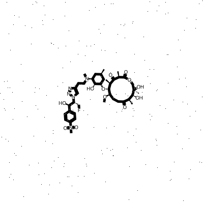 CO[C@@H]1CCC(=O)[C@H](C)[C@@H](O)[C@](C)(O)COC(=O)[C@H](C)C(=O)[C@H](C)[C@H]1O[C@@H]1C[C@H](C)C[C@H](N(C)CCc2cn([C@H](CF)[C@H](O)c3ccc(S(C)(=O)=O)cc3)nn2)[C@H]1O